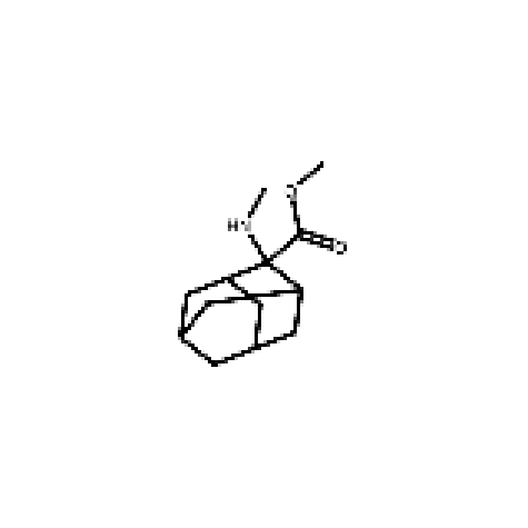 CNC1(C(=O)OC)C2CC3CC(C2)CC1C3